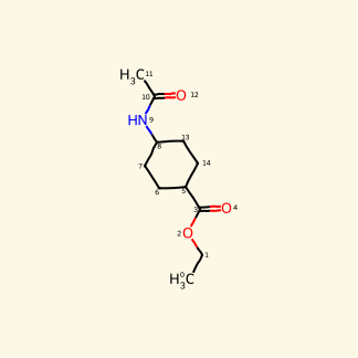 CCOC(=O)C1CCC(NC(C)=O)CC1